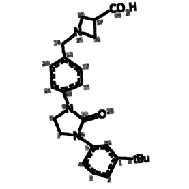 CC(C)(C)c1cccc(N2CCN(c3ccc(CN4CC(C(=O)O)C4)cc3)C2=O)c1